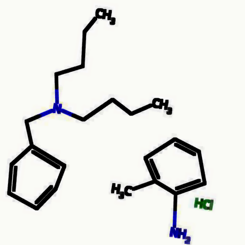 CCCCN(CCCC)Cc1ccccc1.Cc1ccccc1N.Cl